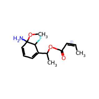 C/C=C\C(=O)OC(C)C1=CC=CC(N)(OC)C1F